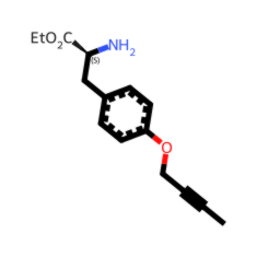 CC#CCOc1ccc(C[C@H](N)C(=O)OCC)cc1